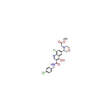 CCCOC(=O)CN1CCOCC1c1cc(F)c2ncc(C(=O)NCc3ccc(Cl)cc3)c(O)c2c1